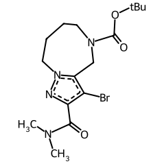 CN(C)C(=O)c1nn2c(c1Br)CN(C(=O)OC(C)(C)C)CCCC2